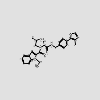 Cc1ncsc1-c1ccc(CNC(=O)[C@H](C)N(C[C@@H](C)O)C(=O)c2cc3ccccc3n2CC#N)cc1